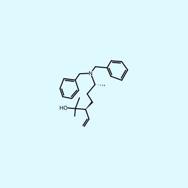 C=C[C@H](CC[C@@H](C)N(Cc1ccccc1)Cc1ccccc1)C(C)(C)O